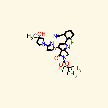 CC(C)(C)OC(=O)N1Cc2nc(-c3c(F)cccc3C#N)cc(-n3ccc(N4CC[C@](C)(O)C4)n3)c2C1=O